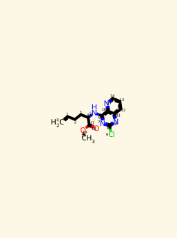 C=CCCC(Nc1nc(Cl)nc2cccnc12)C(=O)OC